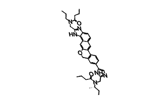 CCCC(=O)N(CCC)Cc1nc2ccc3cc4c(cc3c2[nH]1)OCc1cc(-c2cnc(CN(C(=O)CCC)[C@@H](C)CC)[nH]2)ccc1-4